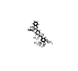 COc1cc(C(=O)C(C)N2CCC(N3Cc4ccccc4NC3=NC#N)CC2)cc(OC)c1OC